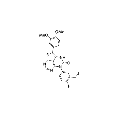 COc1ccc(-c2sc3ncnc4c3c2NC(=O)N4c2ccc(F)c(CI)c2)cc1OC